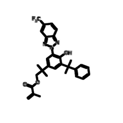 C=C(C)C(=O)OCC(C)(C)c1cc(-n2nc3ccc(C(F)(F)F)cc3n2)c(O)c(C(C)(C)c2ccccc2)c1